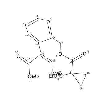 CCOC(=O)C1(C(=O)OCc2ccccc2C(=COC)C(=O)OC)CC1